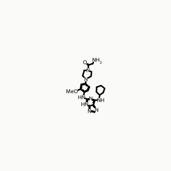 COc1cc(N2CCN(C(=O)CN)CC2)ccc1Nc1nc(NC2CCCCC2)c2ncnc-2[nH]1